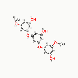 CC(C)(C)Oc1cc(O)cc(Oc2cc(O)cc(Oc3cc(O)cc(OC(C)(C)C)c3)c2)c1